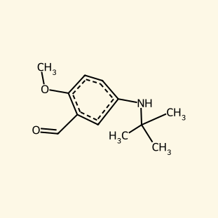 COc1ccc(NC(C)(C)C)cc1C=O